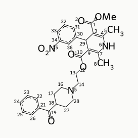 COC(=O)C1=C(C)NC(C)=C(C(=O)OCCN2CCC(C(=O)c3ccccc3)CC2)C1c1cccc([N+](=O)[O-])c1